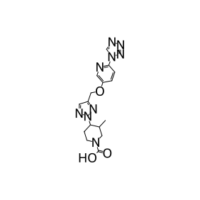 CC1CN(C(=O)O)CCC1n1ncc(COc2ccc(-n3cnnn3)nc2)n1